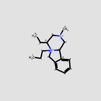 CCC[N+]12Cc3ccccc3C1CN(C)CC2CC